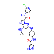 O=C(N[C@H]1CC[C@H](Nc2cc(NC3CC3)c3ncc(C(=O)Nc4ccnc(Cl)c4)n3n2)CC1)c1cn[nH]c1